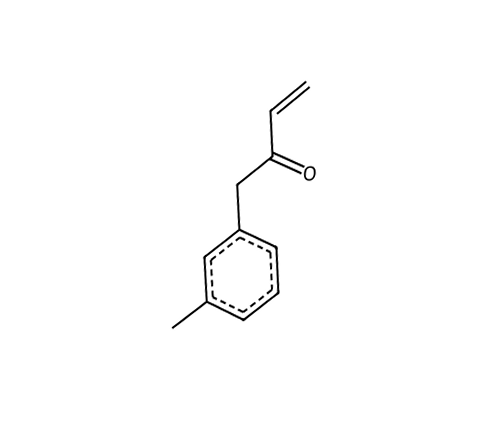 C=CC(=O)Cc1cccc(C)c1